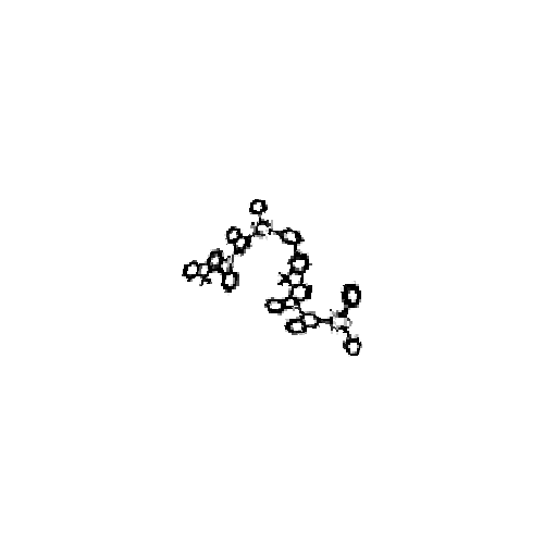 CC1(C)c2cc(-c3cccc(-c4nc(-c5ccccc5)nc(-c5ccc(-n6c7ccccc7c7c8c(ccc76)-c6ccccc6C8(C)C)c6ccccc56)n4)c3)ccc2-c2ccc3c(c21)c1ccccc1n3-c1cc(-c2nc(-c3ccccc3)nc(-c3ccccc3)n2)cc2ccccc12